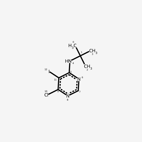 CC(C)(C)Nc1ncnc(Cl)c1I